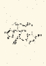 O=C(NCc1ccc(F)cc1)C1CC=CN1c1ncc(C(F)(F)F)cc1Cl